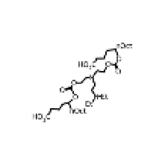 CCCCCCCCC(CCCC(=O)O)OC(=O)OCCN(CCOC(=O)OC(CCCCCCCC)CCCC(=O)O)CCN(CC)CC